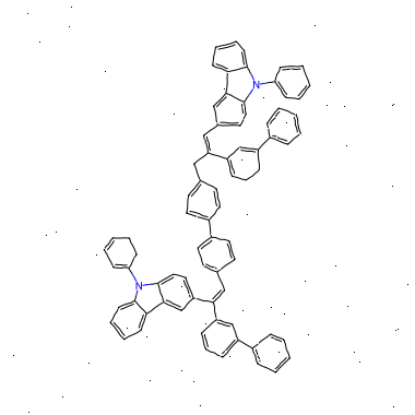 C1=CCCC(n2c3ccccc3c3cc(/C(=C\c4ccc(-c5ccc(C/C(=C/c6ccc7c(c6)c6ccccc6n7-c6ccccc6)C6=CCCC(c7ccccc7)=C6)cc5)cc4)c4cccc(-c5ccccc5)c4)ccc32)=C1